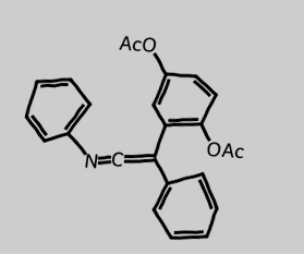 CC(=O)Oc1ccc(OC(C)=O)c(C(=C=Nc2ccccc2)c2ccccc2)c1